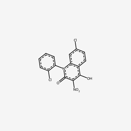 O=c1c([N+](=O)[O-])c(O)c2ccc(Cl)cc2n1-c1ccccc1Cl